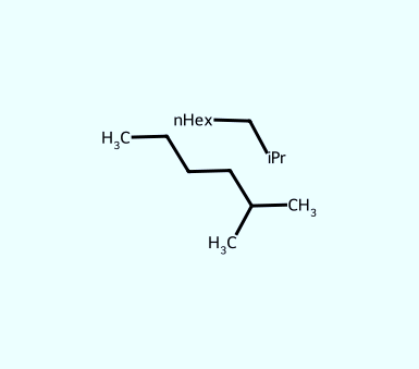 CCCCC(C)C.CCCCCCCC(C)C